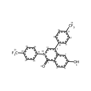 O=c1c2ccc(O)cc2c(-c2ccc(C(F)(F)F)cc2)cn1-c1ccc(C(F)(F)F)cc1